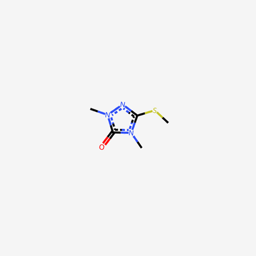 CSc1nn(C)c(=O)n1C